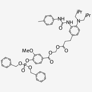 COc1cc(C(=O)OCOC(=O)CCc2ccc(N(CC(C)C)CC(C)C)c(NC(=O)Nc3ccc(C)cc3)c2)ccc1OP(=O)(OCc1ccccc1)OCc1ccccc1